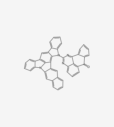 O=C1c2ccccc2-c2nc(-n3c4ccccc4c4cc5c6ccccc6n6c7cc8ccccc8cc7c(c43)c56)nc3cccc1c23